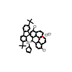 CC(C)(C)c1ccc2c(c1)Cc1c-2ccc(C(C)(C)C)[c]1[Zr+2]([C]1=CC=CC1)=[C](c1ccc(Cl)c2ccccc12)c1ccc(Cl)c2ccccc12.[Cl-].[Cl-]